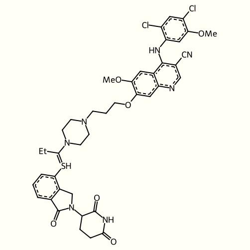 CCC(=[SH]c1cccc2c1CN(C1CCC(=O)NC1=O)C2=O)N1CCN(CCCOc2cc3ncc(C#N)c(Nc4cc(OC)c(Cl)cc4Cl)c3cc2OC)CC1